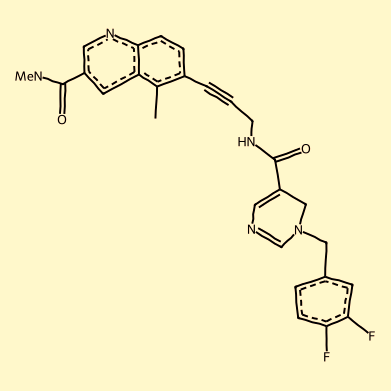 CNC(=O)c1cnc2ccc(C#CCNC(=O)C3=CN=CN(Cc4ccc(F)c(F)c4)C3)c(C)c2c1